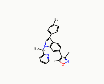 CCc1ccc(-c2cn([C@H](CC)c3ccccn3)c3cc(-c4c(C)noc4C)ccc23)cc1